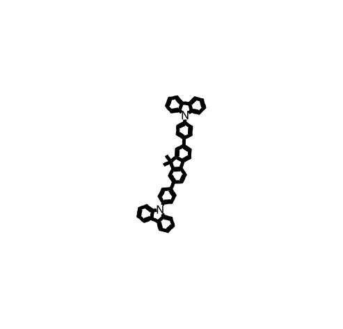 CC1(C)c2cc(-c3ccc(-n4c5ccccc5c5ccccc54)cc3)ccc2-c2ccc(-c3ccc(-n4c5ccccc5c5ccccc54)cc3)cc21